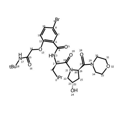 CC(C)C[C@@H](NC(=O)c1cc(Br)ccc1OCC(=O)NC(C)(C)C)C(=O)N1C[C@@H](O)C[C@@H]1C(=O)N1CCOCC1